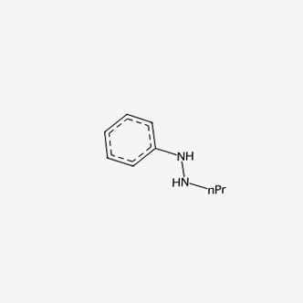 CCCNNc1ccccc1